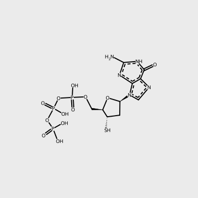 Nc1nc2c(ncn2[C@H]2C[C@H](S)[C@@H](COP(=O)(O)OP(=O)(O)OP(=O)(O)O)O2)c(=O)[nH]1